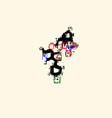 Cc1ncc2c(c1OC(=O)CC1C3CCC(C)([C@H]1O[N+](=O)[O-])C3(C)C)COC2c1ccc(Cl)cc1